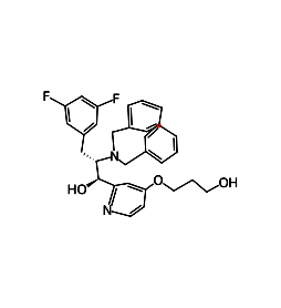 OCCCOc1ccnc([C@@H](O)[C@H](Cc2cc(F)cc(F)c2)N(Cc2ccccc2)Cc2ccccc2)c1